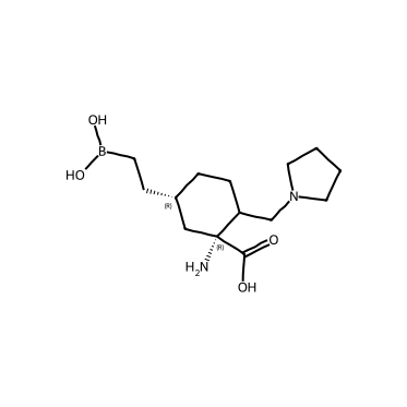 N[C@]1(C(=O)O)C[C@H](CCB(O)O)CCC1CN1CCCC1